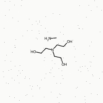 CN.OCCN(CCO)CCO